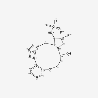 CCS(=O)(=O)NC1C2Cc3cccc(c3F)-c3ccccc3OCCC(O)N2CC1(F)F